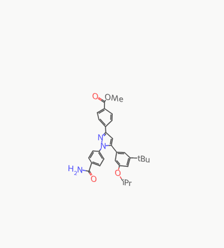 COC(=O)c1ccc(-c2cc(-c3cc(OC(C)C)cc(C(C)(C)C)c3)n(-c3ccc(C(N)=O)cc3)n2)cc1